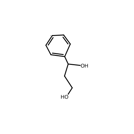 OCCC(O)c1cc[c]cc1